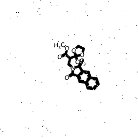 COC(=O)C(CN1C(=O)c2cc3ccccc3cc2C1=O)C1(C)OCCO1